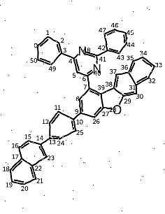 c1ccc(-c2cc(-c3cc(-c4ccc(-c5ccc6ccccc6c5)cc4)cc4oc5cc6ccccc6cc5c34)nc(-c3ccccc3)n2)cc1